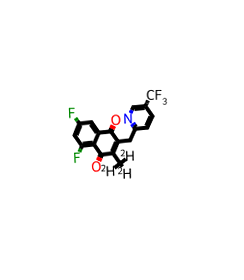 [2H]C([2H])([2H])C1=C(Cc2ccc(C(F)(F)F)cn2)C(=O)c2cc(F)cc(F)c2C1=O